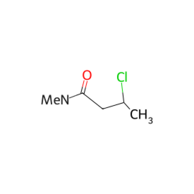 CNC(=O)CC(C)Cl